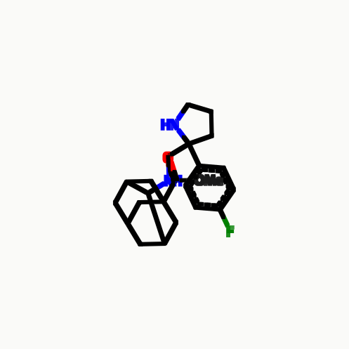 COC(=O)C12CC3CC(C1)C(NCC1(c4ccc(F)cc4)CCCN1)C(C3)C2